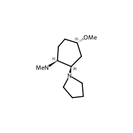 CN[C@H]1CC[C@H](OC)C[C@H]1N1CCCC1